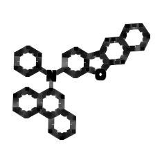 c1ccc(N(c2ccc3c(c2)oc2cc4ccccc4cc23)c2cc3ccccc3c3ccccc23)cc1